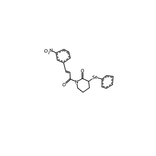 O=C(/C=C/c1cccc([N+](=O)[O-])c1)N1CCCC([Se]c2ccccc2)C1=O